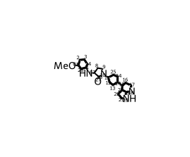 COc1cccc(NC2CCN(c3ccc(-c4ccnc5[nH]ccc45)cc3)C2=O)c1